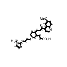 COc1ccc2nccc([C@@H](F)CCC3CCN(CCCSc4nccn4C)CC3CCC(=O)O)c2c1